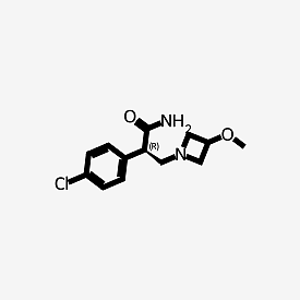 COC1CN(C[C@H](C(N)=O)c2ccc(Cl)cc2)C1